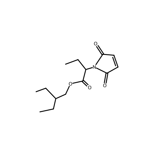 CCC(CC)COC(=O)C(CC)N1C(=O)C=CC1=O